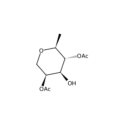 CC(=O)O[C@@H]1[C@@H](O)[C@@H](OC(C)=O)CO[C@H]1C